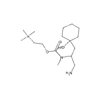 CN(C(=O)OCC[Si](C)(C)C)C(CN)CC1(O)CCCCC1